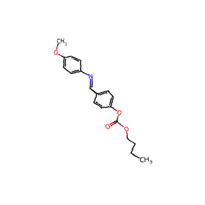 CCCCOC(=O)Oc1ccc(C=Nc2ccc(OC)cc2)cc1